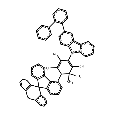 CC1=C(C#N)C(n2c3ccncc3c3cc(-c4ccccc4-c4ccccc4)ccc32)=C(C#N)C(C)(C)C1c1cccc2c1-c1ccccc1C21C2=C(C=CCC2)Oc2ccccc21